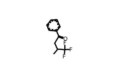 CC(CC(=O)c1ccccc1)C(F)(F)F